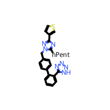 CCCCCc1nc(-c2ccsc2)nn1Cc1ccc(-c2ccccc2-c2nnn[nH]2)cc1